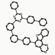 c1ccc(-c2ccc(-c3nc(-c4ccccc4)nc(-c4cccc(-c5cccc(-c6ccc(-c7cc8cncnc8c8c7oc7ccccc78)cc6)c5)c4)n3)cc2)cc1